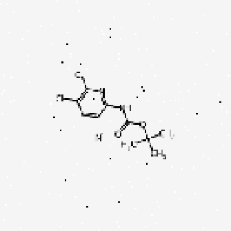 CC(C)(C)OC(=O)Nc1ccc(Cl)c(Cl)n1.[N]